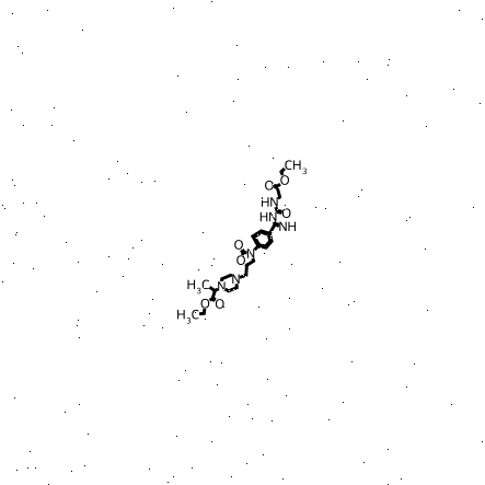 CCOC(=O)CNC(=O)NC(=N)c1ccc(N2CC(CN3CCN(C(C)C(=O)OCC)CC3)OC2=O)cc1